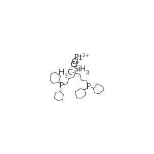 CC([SiH3])(CCCP(C1CCCCC1)C1CCCCC1)CCCP(C1CCCCC1)C1CCCCC1.[Cl-].[Cl-].[Pt+2]